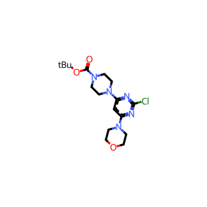 CC(C)(C)OC(=O)N1CCN(c2cc(N3CCOCC3)nc(Cl)n2)CC1